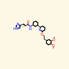 COc1ccc(CCOc2cccc(-c3cccc(NC(=O)/C=C/c4c[nH]cn4)c3)n2)cc1OC